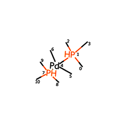 C[PH](C)(C)[Pd]([CH3])([CH3])[PH](C)(C)C